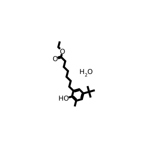 CCOC(=O)CCCCCCc1cc(C(C)(C)C)cc(C)c1O.O